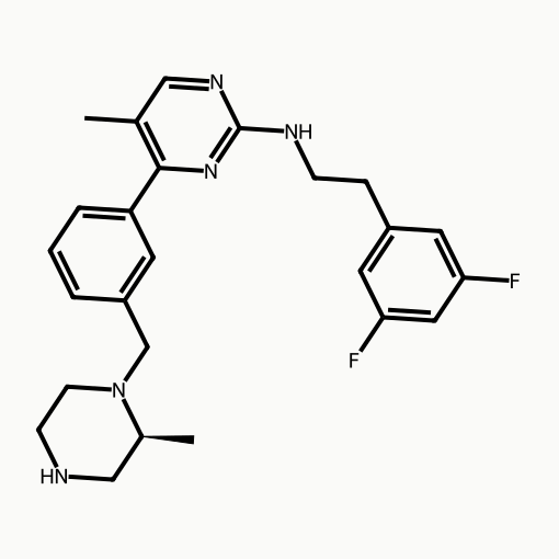 Cc1cnc(NCCc2cc(F)cc(F)c2)nc1-c1cccc(CN2CCNC[C@@H]2C)c1